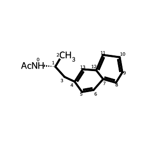 CC(=O)N[C@H](C)Cc1ccc2ccccc2c1